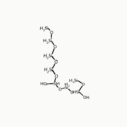 O[SiH](O[SiH3])O[SiH2]O[SiH](O)O[SiH2]O[SiH2]O[SiH2]O[SiH3]